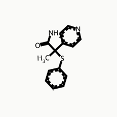 CC(Sc1cc[c]cc1)(C(N)=O)c1ccncc1